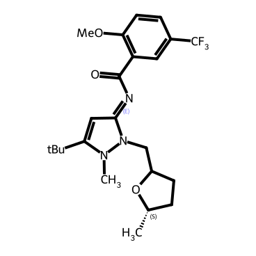 COc1ccc(C(F)(F)F)cc1C(=O)/N=c1\cc(C(C)(C)C)n(C)n1CC1CC[C@H](C)O1